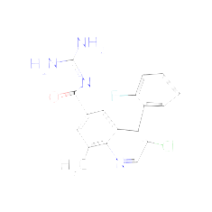 Cc1cc(C(=O)N=C(N)N)cc2c(-c3ccccc3F)c(Cl)cnc12